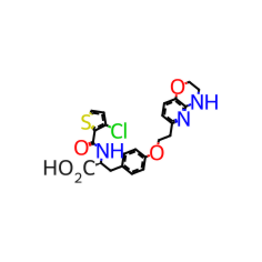 O=C(N[C@@H](Cc1ccc(OCCc2ccc3c(n2)NCCO3)cc1)C(=O)O)c1sccc1Cl